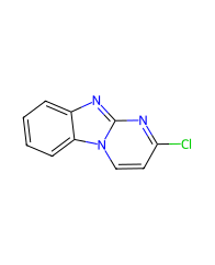 Clc1ccn2c(n1)nc1ccccc12